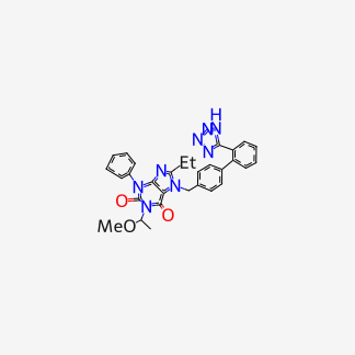 CCc1nc2c(c(=O)n(C(C)OC)c(=O)n2-c2ccccc2)n1Cc1ccc(-c2ccccc2-c2nnn[nH]2)cc1